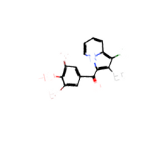 CCc1c(Cl)c2ccccn2c1C(=O)c1cc(Br)c(O)c(Br)c1